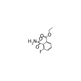 CCOC(=O)c1cccc(I)c1S(N)(=O)=O